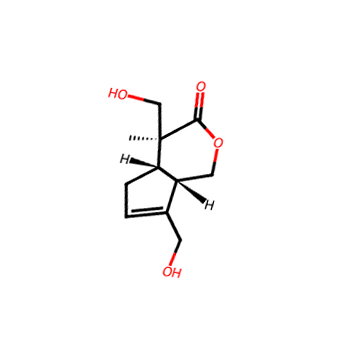 C[C@]1(CO)C(=O)OC[C@@H]2C(CO)=CC[C@@H]21